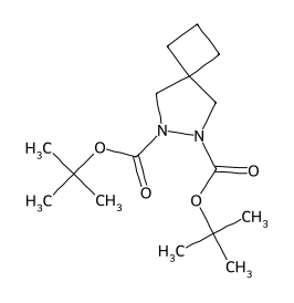 CC(C)(C)OC(=O)N1CC2(CCC2)CN1C(=O)OC(C)(C)C